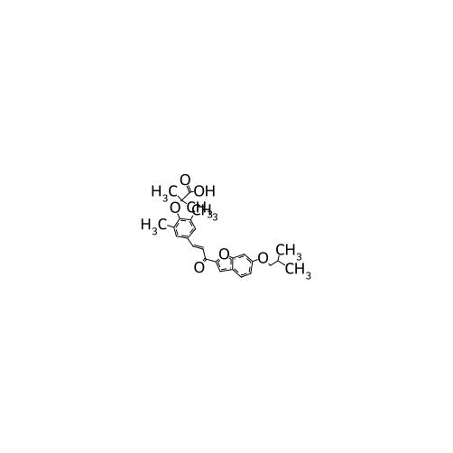 Cc1cc(/C=C/C(=O)c2cc3ccc(OCC(C)C)cc3o2)cc(C)c1OC(C)(C)C(=O)O